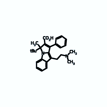 CN(C)CCc1c2n(c3ccccc13)C(C)(C(C)(C)C)C(C(=O)O)=C2c1ccccc1